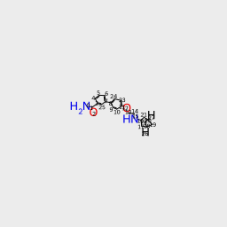 NC(=O)c1cccc(-c2ccc(OCCNC3C[C@H]4C[C@@H](C3)C4)cc2)c1